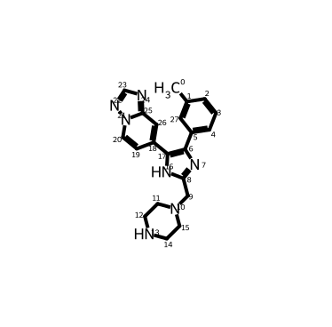 Cc1cccc(-c2nc(CN3CCNCC3)[nH]c2-c2ccn3ncnc3c2)c1